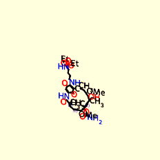 CCOP(=O)(NCCCCNC1=C2CC(C)CC(OC)C(O)C(C)/C=C(\C)C(OC(N)=O)C(OC)/C=C\C=C(/C)C(=O)NC(=CC1=O)C2=O)OCC